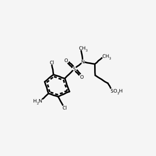 CC(CCS(=O)(=O)O)N(C)S(=O)(=O)c1cc(Cl)c(N)cc1Cl